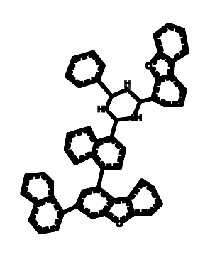 c1ccc(C2NC(c3ccc(-c4cc(-c5cccc6ccccc56)cc5oc6ccccc6c45)c4ccccc34)NC(c3cccc4c3oc3ccccc34)N2)cc1